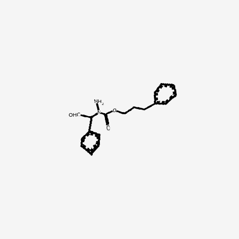 NN(C(=O)OCCCc1ccccc1)C(C=O)c1ccccc1